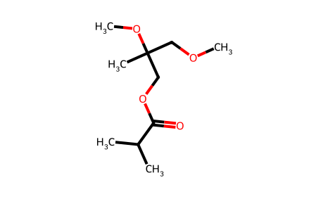 COCC(C)(COC(=O)C(C)C)OC